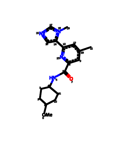 COC1CCC(NC(=O)c2cc(C)cc(-c3cncn3C)n2)CC1